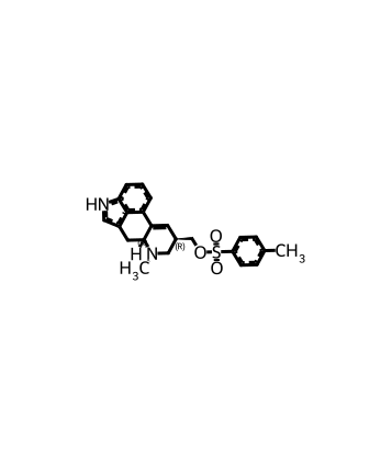 Cc1ccc(S(=O)(=O)OC[C@@H]2C=C3c4cccc5[nH]cc(c45)C[C@H]3N(C)C2)cc1